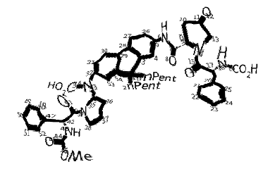 CCCCCC1(CCCCC)c2cc(NC(=O)[C@@H]3CC(=O)CN3C(=O)[C@H](NC(=O)O)c3ccccc3)ccc2-c2ccc(N(C(=O)O)[C@H]3CCCN3C(=O)[C@H](NC(=O)OC)c3ccccc3)cc21